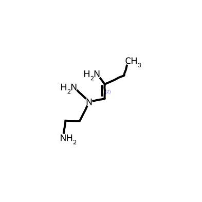 CC/C(N)=C/N(N)CCN